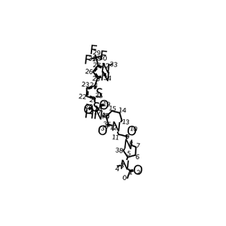 CC(=O)N(C)C1CCN(C(=O)CN2CCC[C@H](NS(=O)(=O)c3ccc(-c4cc(C(F)(F)F)n(C)n4)s3)C2=O)C1